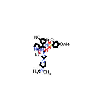 CCOc1ncccc1[C@]1(NC(=O)N2CC(N3CCC(N(C)C)CC3)C2)C(=O)N(S(=O)(=O)c2ccc(OC)cc2OC)c2ccc(C#N)cc21